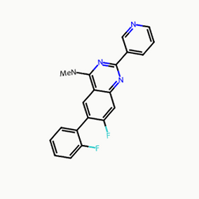 CNc1nc(-c2cccnc2)nc2cc(F)c(-c3ccccc3F)cc12